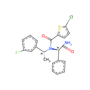 C[C@H](c1cccc(F)c1)N(C(=O)c1ccc(Cl)s1)[C@@H](C(N)=O)c1ccccc1